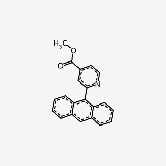 COC(=O)c1ccnc(-c2c3ccccc3cc3ccccc23)c1